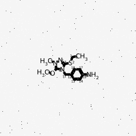 CCSC1=NN(C)C(OC)N1Cc1ccc(N)cc1